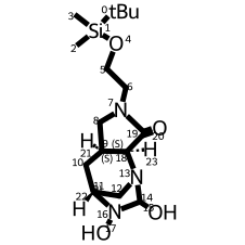 CC(C)(C)[Si](C)(C)OCCN1C[C@@H]2C[C@@H]3CN(C(O)N3O)[C@@H]2C1=O